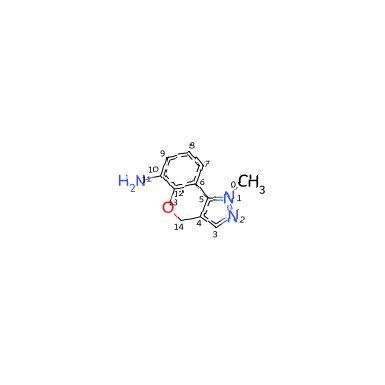 Cn1ncc2c1-c1cccc(N)c1OC2